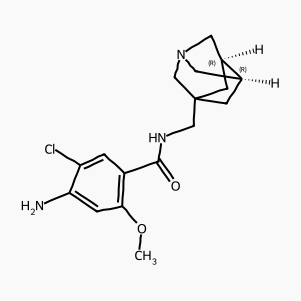 COc1cc(N)c(Cl)cc1C(=O)NCC12C[C@H]3CN(C[C@@H]3C1)C2